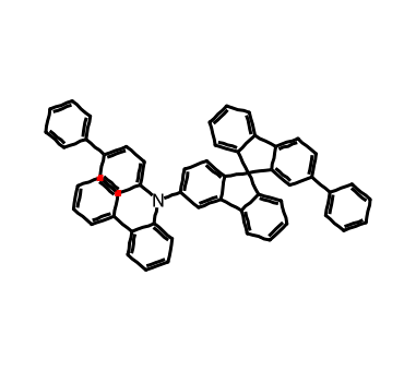 c1ccc(-c2ccc(N(c3ccc4c(c3)-c3ccccc3C43c4ccccc4-c4ccc(-c5ccccc5)cc43)c3ccccc3-c3ccccc3)cc2)cc1